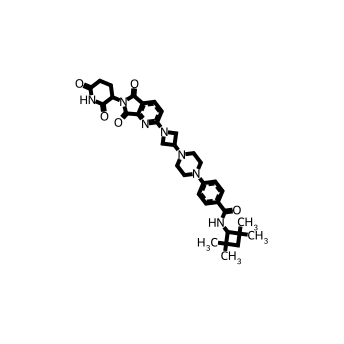 CC1(C)CC(C)(C)C1NC(=O)c1ccc(N2CCN(C3CN(c4ccc5c(n4)C(=O)N(C4CCC(=O)NC4=O)C5=O)C3)CC2)cc1